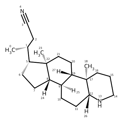 C[C@H](CC#N)[C@H]1CC[C@H]2[C@@H]3CC[C@H]4NCCC[C@]4(C)[C@H]3CC[C@]12C